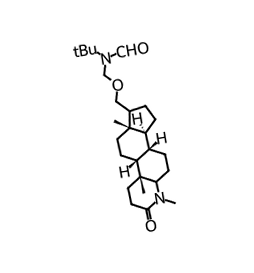 CN1C(=O)CC[C@@]2(C)C1CC[C@@H]1[C@H]2CC[C@]2(C)C(COCN(C=O)C(C)(C)C)CC[C@@H]12